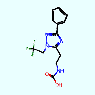 O=C(O)NCCc1nc(-c2ccccc2)nn1CC(F)(F)F